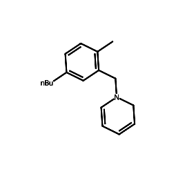 CCCCc1ccc(C)c(CN2C=CC=CC2)c1